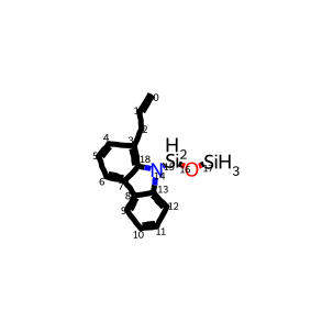 C=CCc1cccc2c3ccccc3n([SiH2]O[SiH3])c12